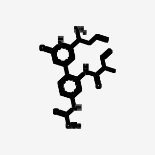 C=CCC(N)c1cc(-c2ccc(NC(=O)OC)cc2NC(=O)C(C)C=C)cc(=O)[nH]1